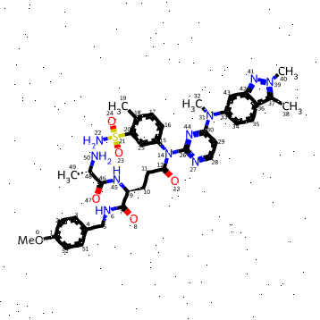 COc1ccc(CNC(=O)[C@H](CCC(=O)N(c2ccc(C)c(S(N)(=O)=O)c2)c2nccc(N(C)c3ccc4c(C)n(C)nc4c3)n2)NC(=O)[C@H](C)N)cc1